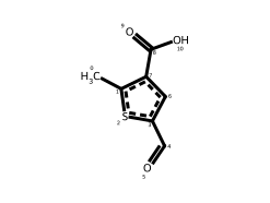 Cc1sc(C=O)cc1C(=O)O